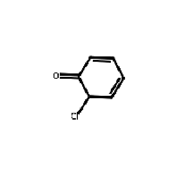 O=C1C=CC=CC1Cl